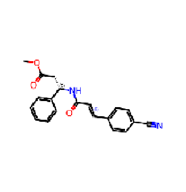 COC(=O)C[C@H](NC(=O)/C=C/c1ccc(C#N)cc1)c1ccccc1